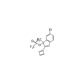 CCc1ccc2c(c1)S(OS(=O)(=O)C(F)(F)F)(C(F)(F)F)C(C1=CC=C1)=C2